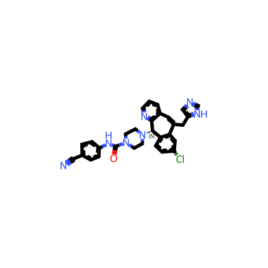 N#Cc1ccc(NC(=O)N2CCN([C@H]3c4ccc(Cl)cc4C(Cc4cnc[nH]4)=Cc4cccnc43)CC2)cc1